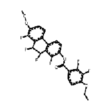 CCOc1ccc(C(=O)Oc2ccc3c(c2F)C(F)C(F)c2c-3ccc(OCC)c2F)c(F)c1F